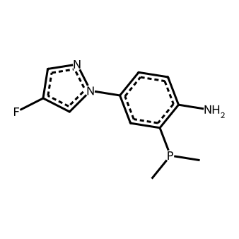 CP(C)c1cc(-n2cc(F)cn2)ccc1N